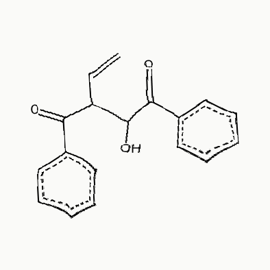 C=CC(C(=O)c1ccccc1)C(O)C(=O)c1ccccc1